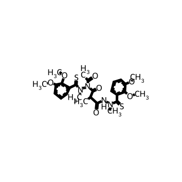 COc1cccc(C(=S)N(C)NC(=O)C(C)C(=O)N(C(C)=O)N(C)C(=S)c2cccc(OC)c2OC)c1OC